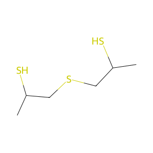 CC(S)CSCC(C)S